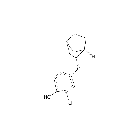 N#Cc1ccc(O[C@@H]2CC3CC[C@@H]2C3)cc1Cl